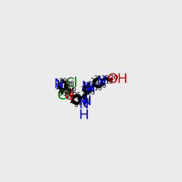 C[C@@H](Oc1ccc2[nH]nc(-c3cnn(C4CCN(CCO)CC4)c3)c2c1)c1c(Cl)cncc1Cl